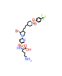 NCCCCC(NS(=O)(=O)c1ccc(N2CCC(CCCC3CCN(S(=O)(=O)c4ccc(C(F)(F)F)cc4)CC3)C(Br)C2)nc1)C(=O)O